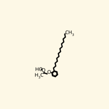 CCCCCCCCCCCCCCCCc1ccccc1OCC(C)OO